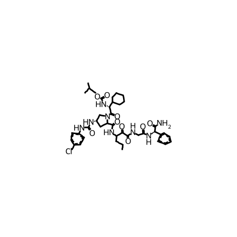 CCCC(NC(=O)C1C[C@H](NC(=O)Nc2ccc(Cl)cc2)CN1C(=O)[C@H](NC(=O)OCC(C)C)C1CCCCC1)C(=O)C(=O)NCC(=O)N[C@@H](C(N)=O)c1ccccc1